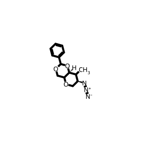 CC1[C@@H]2OC(c3ccccc3)OCC2OC[C@@H]1N=[N+]=[N-]